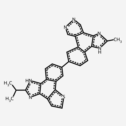 Cc1nc2c3cnncc3c3cc(-c4ccc5c(c4)c4sccc4c4nc(C(C)C)[nH]c54)ccc3c2[nH]1